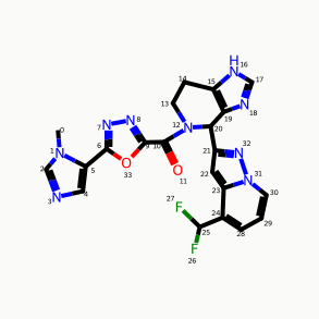 Cn1cncc1-c1nnc(C(=O)N2CCc3[nH]cnc3C2c2cc3c(C(F)F)cccn3n2)o1